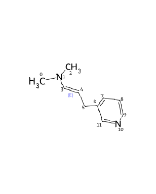 CN(C)/C=C/Cc1cccnc1